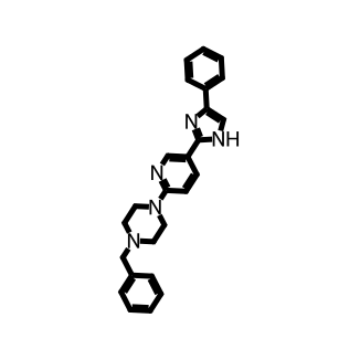 c1ccc(CN2CCN(c3ccc(-c4nc(-c5ccccc5)c[nH]4)cn3)CC2)cc1